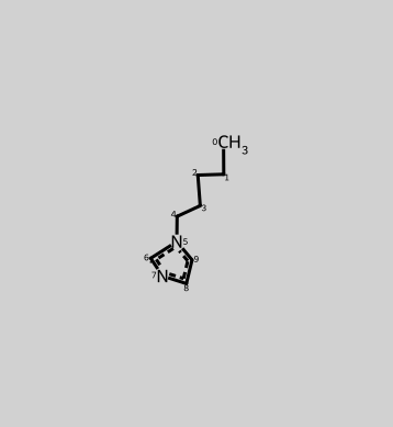 CCCCCn1[c]ncc1